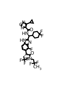 CC(F)(F)CNC(=O)[C@H](CC(F)(F)F)c1ccc2[nH]c(C(NC(=O)c3nonc3C3CC3)C3CCC(F)(F)CC3)nc2c1F